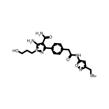 CC(C)(C)Cc1cc(NC(=O)Cc2ccc(-c3nn(CCCO)c(N)c3C(N)=O)cc2)on1